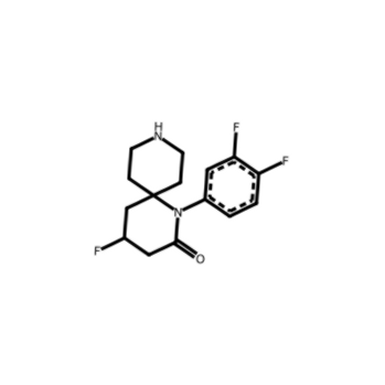 O=C1CC(F)CC2(CCNCC2)N1c1ccc(F)c(F)c1